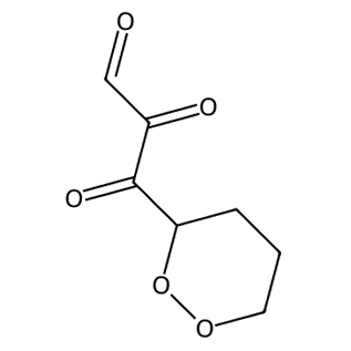 O=CC(=O)C(=O)C1CCCOO1